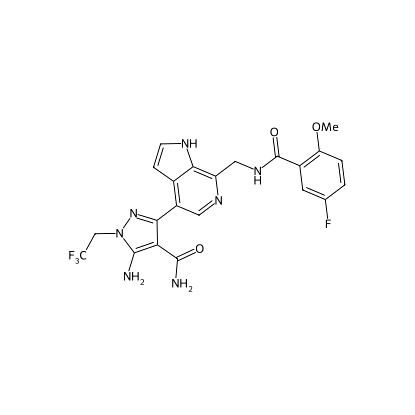 COc1ccc(F)cc1C(=O)NCc1ncc(-c2nn(CC(F)(F)F)c(N)c2C(N)=O)c2cc[nH]c12